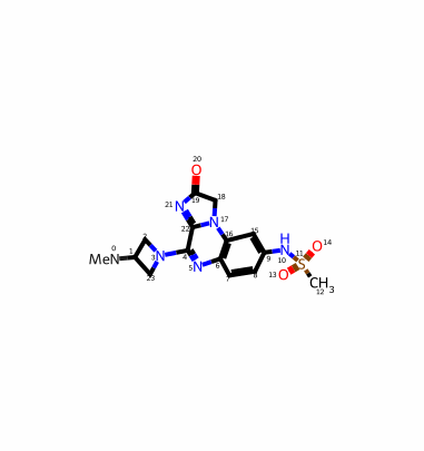 CNC1CN(C2=Nc3ccc(NS(C)(=O)=O)cc3N3CC(=O)N=C23)C1